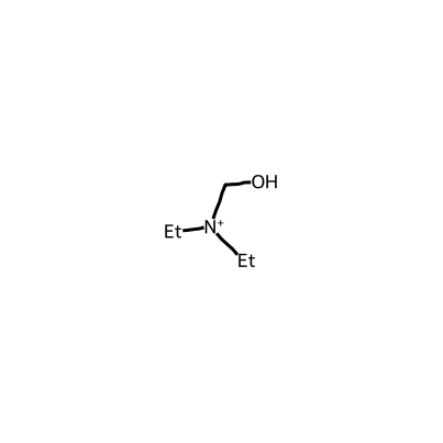 CC[N+](CC)CO